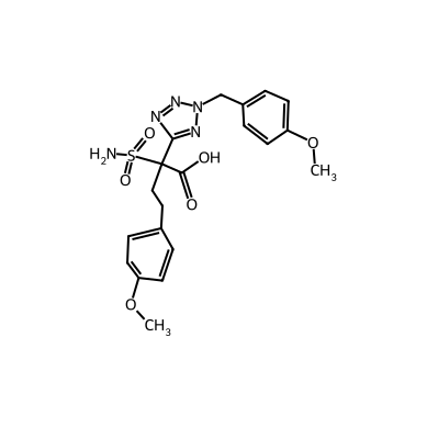 COc1ccc(CCC(C(=O)O)(c2nnn(Cc3ccc(OC)cc3)n2)S(N)(=O)=O)cc1